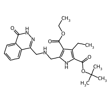 CCOC(=O)c1c(CNCc2n[nH]c(=O)c3ccccc23)[nH]c(C(=O)OC(C)(C)C)c1CC